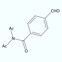 CC(=O)N(C(C)=O)C(=O)c1ccc(C=O)cc1